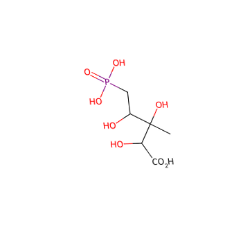 CC(O)(C(O)CP(=O)(O)O)C(O)C(=O)O